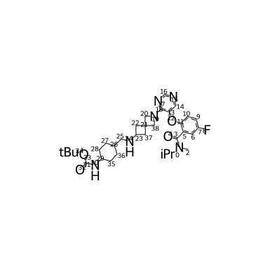 CC(C)N(C)C(=O)c1cc(F)ccc1Oc1cncnc1N1CC2(CC(NCC3CCC(NC(=O)OC(C)(C)C)CC3)C2)C1